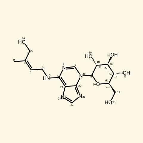 CC(=CCNc1ncn(C2O[C@H](CO)[C@@H](O)[C@H](O)[C@H]2O)c2ncnc1-2)CO